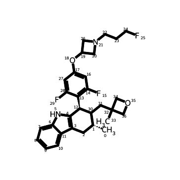 C[C@@H]1Cc2c([nH]c3ccccc23)[C@@H](c2c(F)cc(OC3CN(CCCF)C3)cc2F)C1CC1(C)COC1